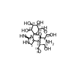 N=C1NCC(N(C(=O)[C@@H](N)CO)[C@H]([C]=O)CO)N1C1OC(CO)C(O)C(O)C1O